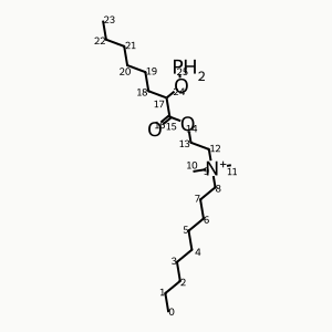 CCCCCCCCC[N+](C)(C)CCOC(=O)C(CCCCCC)OP